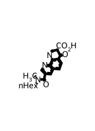 CCCCCCN(C)C(=O)c1cnc2c3c(ccc2c1)C(=O)C(C(=O)O)C=N3